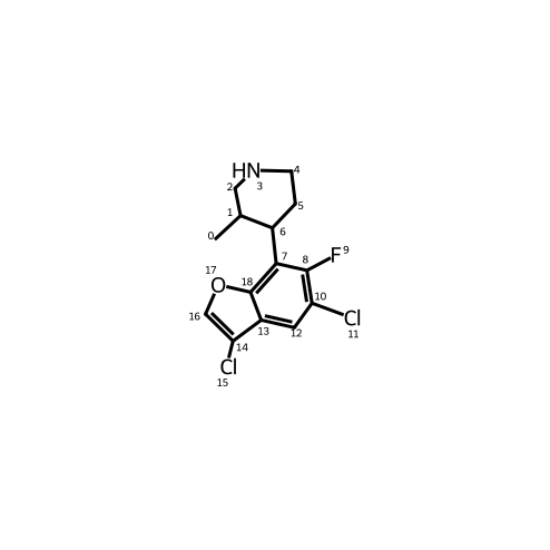 CC1CNCCC1c1c(F)c(Cl)cc2c(Cl)coc12